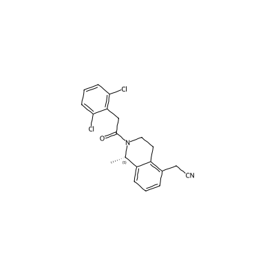 C[C@H]1c2cccc(CC#N)c2CCN1C(=O)Cc1c(Cl)cccc1Cl